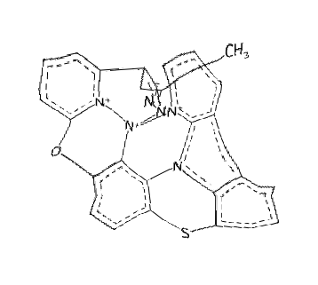 Cc1cc2n(n1)[N+]13c4c(ccc5c4-n4c6c(cccc6c6ccc[n+]1c64)S5)Oc1cccc-2[n+]13